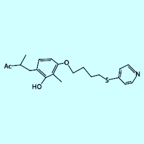 CC(=O)C(C)Cc1ccc(OCCCCSc2ccncc2)c(C)c1O